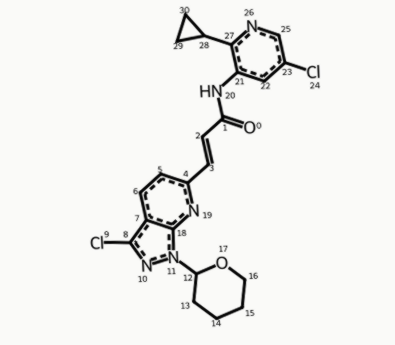 O=C(/C=C/c1ccc2c(Cl)nn(C3CCCCO3)c2n1)Nc1cc(Cl)cnc1C1CC1